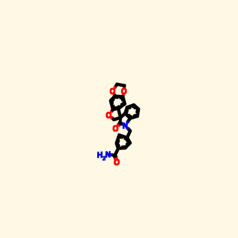 NC(=O)c1ccc(CN2C(=O)C3(COc4cc5c(cc43)OCCO5)c3ccccc32)cc1